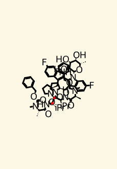 CC(C)[C@H](NC(=O)[C@H](C)N(C)C(=O)OCc1ccccc1)C(=O)N1CCC[C@H]1Cc1c(-c2c(C[C@@H]3CCCN3C(=O)[C@@H](NC(=O)[C@H](C)N(C)C(=O)OCc3ccccc3)C(C)C)c3ccc(F)cc3n2[C@H]2O[C@@H](C)[C@@H](O)[C@@H](O)[C@@H]2O)[nH]c2cc(F)ccc12